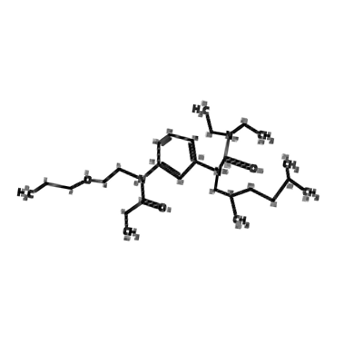 CCCOCCN(C(=O)CC)c1cccc(N(CC(C)CCC(C)C)C(=O)N(CC)CC)c1